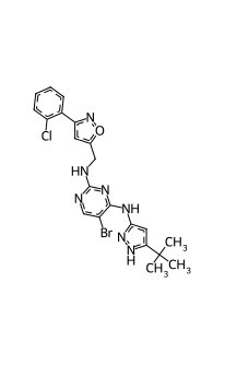 CC(C)(C)c1cc(Nc2nc(NCc3cc(-c4ccccc4Cl)no3)ncc2Br)n[nH]1